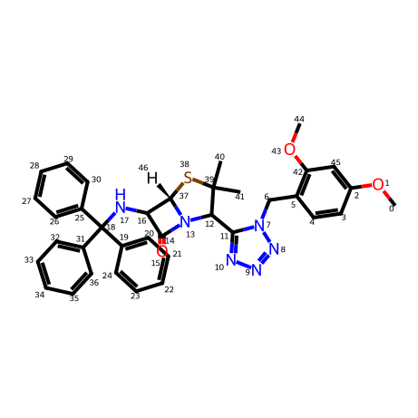 COc1ccc(Cn2nnnc2C2N3C(=O)C(NC(c4ccccc4)(c4ccccc4)c4ccccc4)[C@@H]3SC2(C)C)c(OC)c1